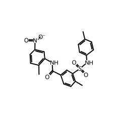 Cc1ccc(NS(=O)(=O)c2cc(C(=O)Nc3cc([N+](=O)[O-])ccc3C)ccc2C)cc1